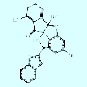 CC(C)c1ccc2c(c1)OC1(N=O)C3=CCCC(N)=C3C(=O)C21NC(=O)c1cc2ccccc2s1